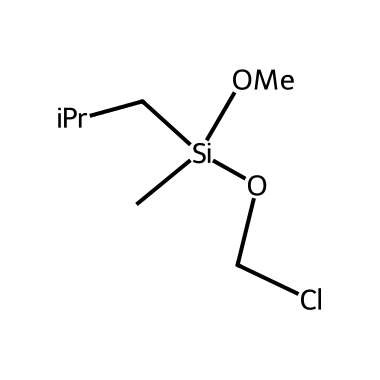 CO[Si](C)(CC(C)C)OCCl